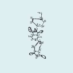 CN1C(=O)c2ccc(-c3ccc4c(c3)C(=O)N([C@H]3CC[C@H](C)CC3)C4=O)cc2C1=O